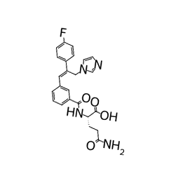 NC(=O)CC[C@H](NC(=O)c1cccc(C=C(Cn2ccnc2)c2ccc(F)cc2)c1)C(=O)O